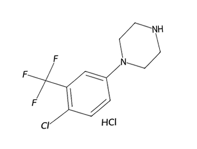 Cl.FC(F)(F)c1cc(N2CCNCC2)ccc1Cl